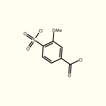 COc1cc(C(=O)Cl)ccc1S(=O)(=O)Cl